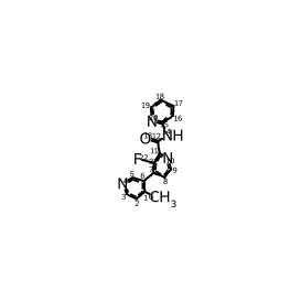 Cc1ccncc1-c1ccnc(C(=O)Nc2ccccn2)c1F